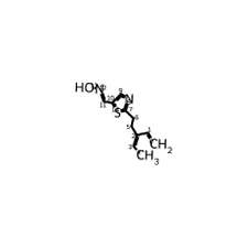 C=C/C(=C\C)CCc1ncc(/C=N/O)s1